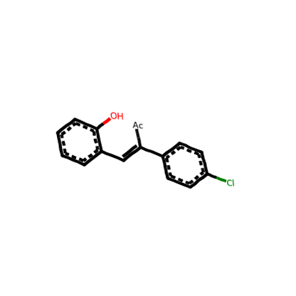 CC(=O)C(=Cc1ccccc1O)c1ccc(Cl)cc1